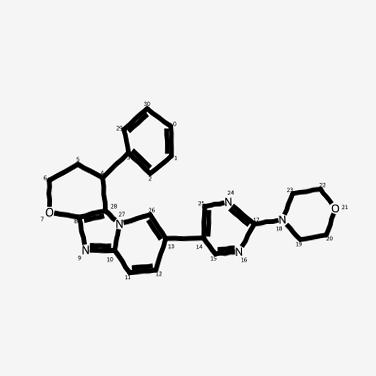 c1ccc(C2CCOc3nc4ccc(-c5cnc(N6CCOCC6)nc5)cn4c32)cc1